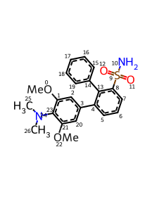 COc1cc(-c2cccc(S(N)(=O)=O)c2-c2ccccc2)cc(OC)c1N(C)C